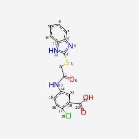 O=C(CSc1nc2ccccc2[nH]1)Nc1ccc(Cl)c(C(=O)O)c1